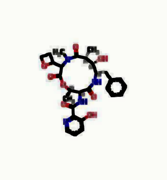 C[C@H]1OC(=O)C(C2CCO2)N(C)C(=O)[C@H](C)[C@H](O)[C@H](Cc2ccccc2)NC(=O)[C@H]1NC(=O)c1ncccc1O